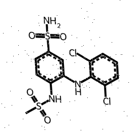 CS(=O)(=O)Nc1ccc(S(N)(=O)=O)cc1Nc1c(Cl)cccc1Cl